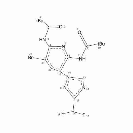 CC(C)(C)C(=O)Nc1nc(NC(=O)C(C)(C)C)c(-n2cnc(C(F)F)n2)cc1Br